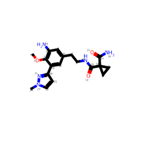 COc1c(N)cc(CCNC(=O)C2(C(N)=O)CC2)cc1-c1ccn(C)n1